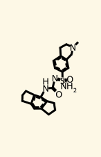 CN1CCc2ccc([S@@](N)(=O)=NC(=O)Nc3c4c(cc5c3CCC5)CCC4)cc2C1